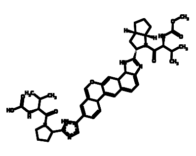 COC(=O)N[C@H](C(=O)N1[C@H](C2=NC3=CC=C4C=C5C(=CC4C3N2)OC=C2C=C(c3cnc(C4CCCN4C(=O)[C@@H](NC(=O)O)C(C)C)[nH]3)C=CC25)C[C@@H]2CCC[C@@H]21)C(C)C